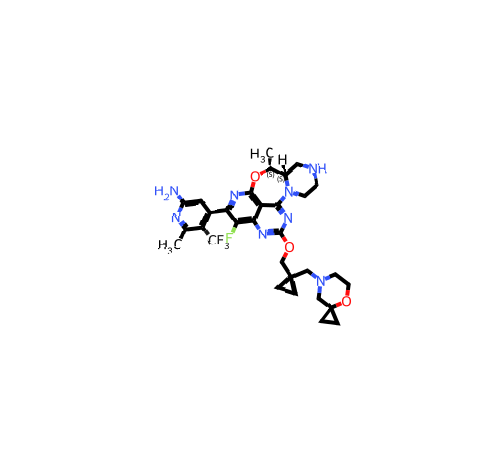 Cc1nc(N)cc(-c2nc3c4c(nc(OCC5(CN6CCOC7(CC7)C6)CC5)nc4c2F)N2CCNC[C@H]2[C@H](C)O3)c1C(F)(F)F